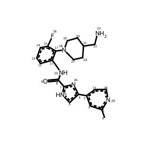 Cc1cc(-c2c[nH]c(C(=O)Nc3cccc(F)c3N3CCC(CN)CC3)n2)ccn1